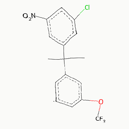 CC(C)(c1c[c]cc(OC(F)(F)F)c1)c1cc(Cl)cc([N+](=O)[O-])c1